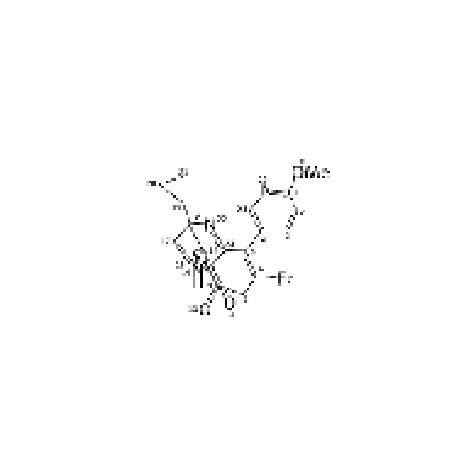 COc1ccc(C2=C(F)CC(=O)C34C(=O)NSC3=CC(C3CC3)N=C24)cn1